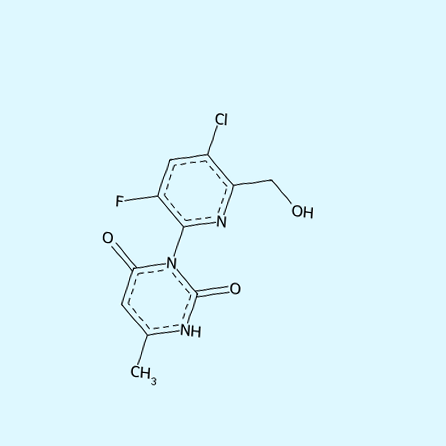 Cc1cc(=O)n(-c2nc(CO)c(Cl)cc2F)c(=O)[nH]1